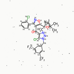 CC(C)(O[Si](C)(C)C)c1onc(-c2ccccc2Cl)c1C(=O)c1nnn(Cc2cc(C(F)(F)F)cc(C(F)(F)F)c2)c1Cl